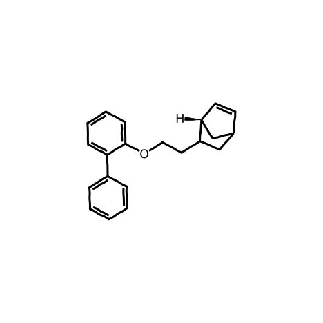 C1=C[C@@H]2CC1CC2CCOc1ccccc1-c1ccccc1